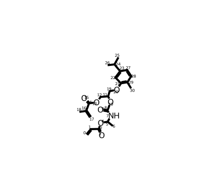 C=CC(=O)OC(C)NC(=O)OC(COC(=O)C(=C)C)COc1cc(C(C)C)ccc1C